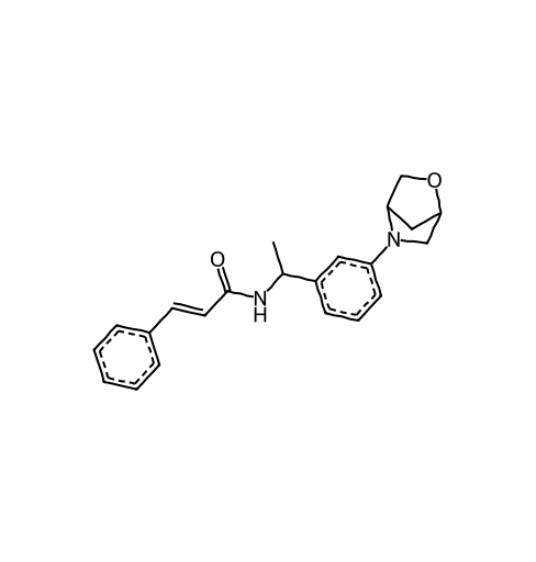 CC(NC(=O)C=Cc1ccccc1)c1cccc(N2CC3CC2CO3)c1